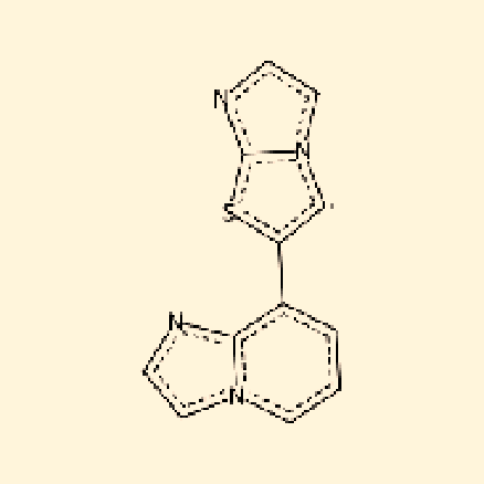 [c]1c(-c2cccn3ccnc23)sc2nccn12